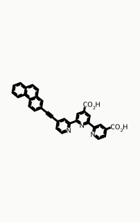 O=C(O)c1ccnc(-c2cc(C(=O)O)cc(-c3cc(C#Cc4ccc5c(ccc6ccccc65)c4)ccn3)n2)c1